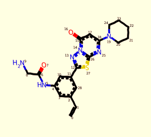 C=Cc1cc(NC(=O)CN)cc(-c2nn3c(=O)cc(N4CCCCC4)nc3s2)c1